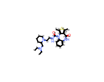 CCN(CC)CC1CCCCN1CCNC(=O)N1c2ccccc2NC(=O)c2c(C)sc(C)c21